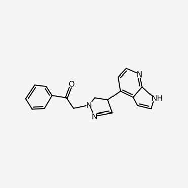 O=C(CN1CC(c2ccnc3[nH]ccc23)C=N1)c1ccccc1